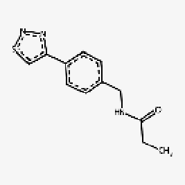 CCC(=O)NCc1ccc(-c2csnn2)cc1